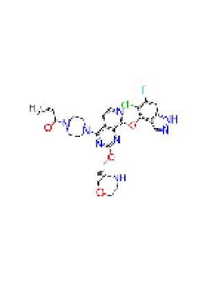 C=CC(=O)N1CCN(c2nc(OC[C@H]3COCCN3)nc3c(Oc4c(Cl)c(F)cc5[nH]ncc45)nccc23)CC1